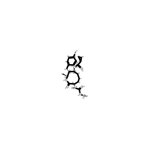 C[C@@H]1OC(=O)[C@@H](NC(=O)OC(C)(C)C)CCC[C@H](OC(=O)C2CC2)[C@H]1Cc1ccc(F)cc1